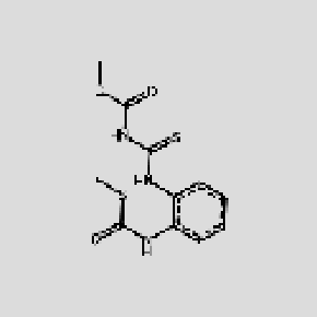 COC(=O)NC(=S)Nc1ccccc1NC(=O)SC